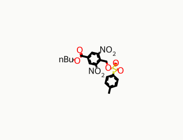 CCCCOC(=O)c1cc([N+](=O)[O-])c(COS(=O)(=O)c2ccc(C)cc2)c([N+](=O)[O-])c1